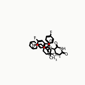 CC1(C)CCC(CN2CC3CC(C2)N3c2cc3c(cc2F)C(=O)N(C2CCC(=O)NC2=O)C3=O)=C(c2ccc(F)cc2)C1